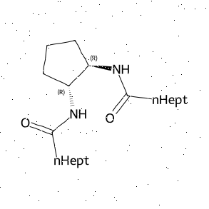 CCCCCCCC(=O)N[C@@H]1CCC[C@H]1NC(=O)CCCCCCC